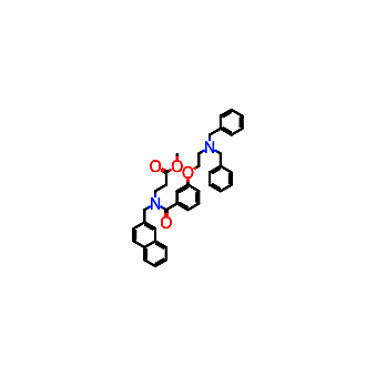 COC(=O)CCN(Cc1ccc2ccccc2c1)C(=O)c1cccc(OCCN(Cc2ccccc2)Cc2ccccc2)c1